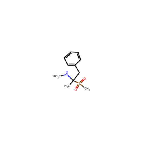 CC(Cc1ccccc1)(NC(=O)O)S(C)(=O)=O